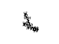 CCN(C(=O)C(CCCCNC(=O)OC(C)(C)C)NC(=O)OC(C)(C)C)C(C)Cc1ccc2c(c1)OCO2